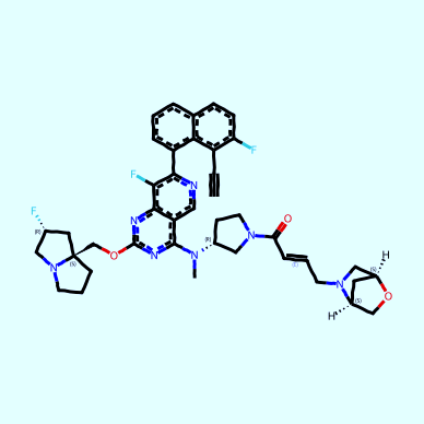 C#Cc1c(F)ccc2cccc(-c3ncc4c(N(C)[C@@H]5CCN(C(=O)/C=C/CN6C[C@@H]7C[C@H]6CO7)C5)nc(OC[C@@]56CCCN5C[C@H](F)C6)nc4c3F)c12